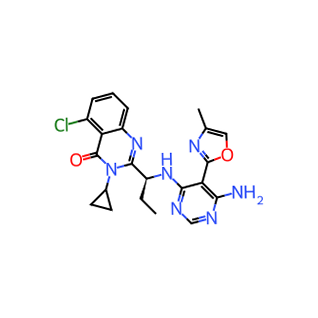 CC[C@H](Nc1ncnc(N)c1-c1nc(C)co1)c1nc2cccc(Cl)c2c(=O)n1C1CC1